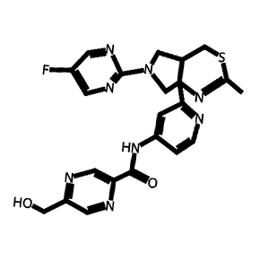 CC1=NC2(c3cc(NC(=O)c4cnc(CO)cn4)ccn3)CN(c3ncc(F)cn3)CC2CS1